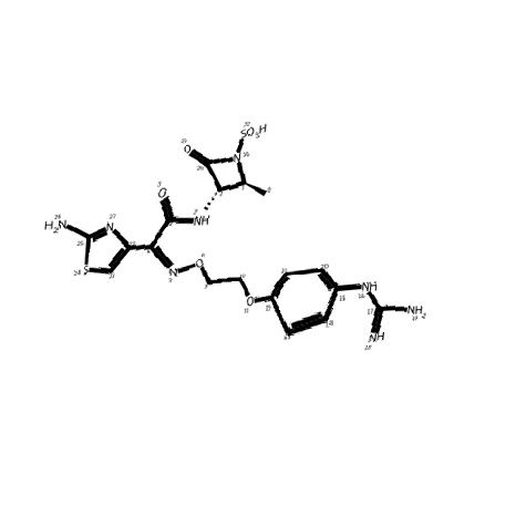 C[C@H]1[C@H](NC(=O)/C(=N\OCCOc2ccc(NC(=N)N)cc2)c2csc(N)n2)C(=O)N1S(=O)(=O)O